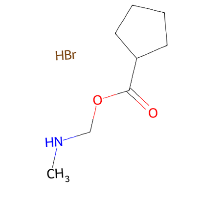 Br.CNCOC(=O)C1CCCC1